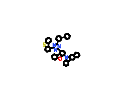 c1ccc(-c2cccc(-c3nc(-c4cccc5sc6ccccc6c45)nc(-c4ccc(-n5c6ccccc6c6cc7ccccc7cc65)c5oc6ccccc6c45)n3)c2)cc1